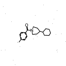 [CH2]c1ccc(C(=O)N2CCC(C3CCCCC3)CC2)cc1